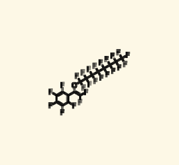 FC(F)=C(OC(F)(F)C(F)(F)C(F)(F)C(F)(F)C(F)(F)C(F)(F)C(F)(F)C(F)(F)F)c1c(F)c(F)c(F)c(F)c1F